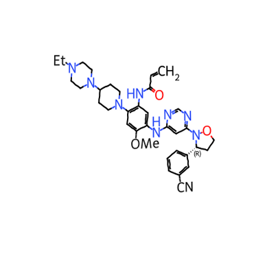 C=CC(=O)Nc1cc(Nc2cc(N3OCC[C@@H]3c3cccc(C#N)c3)ncn2)c(OC)cc1N1CCC(N2CCN(CC)CC2)CC1